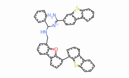 N/C(=N\C(NCc1cccc2c1oc1c(-c3cccc4c3sc3ccccc34)cccc12)c1ccccc1)c1ccc2c(c1)sc1ccccc12